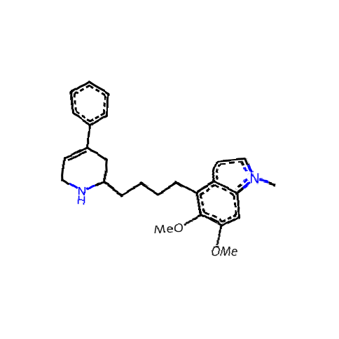 COc1cc2c(ccn2C)c(CCCCC2CC(c3ccccc3)=CCN2)c1OC